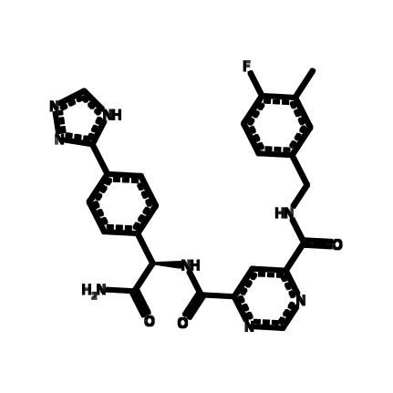 Cc1cc(CNC(=O)c2cc(C(=O)N[C@@H](C(N)=O)c3ccc(-c4nnc[nH]4)cc3)ncn2)ccc1F